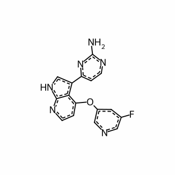 Nc1nccc(-c2c[nH]c3nccc(Oc4cncc(F)c4)c23)n1